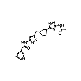 CC(=O)Nc1nnc(C2CC[C@@H](Cc3nnc(NC(=O)Cc4cncnc4)s3)C2)s1